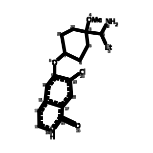 CCC(N)C1(OC)CCC(Oc2cc3cc[nH]c(=O)c3cc2Cl)CC1